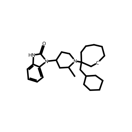 CC1CC(n2c(=O)[nH]c3ccccc32)CCN1C1(CC2CCCCC2)CCCCCCC1